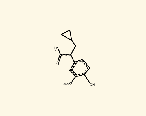 COc1cc(C(CC2CC2)C(N)=O)ccc1O